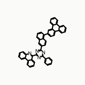 c1ccc(-c2nc(-c3ccc4c(-c5ccc6c7ccccc7c7ccccc7c6c5)cccc4c3)nc(-c3nc4ccccc4c4ccccc34)n2)cc1